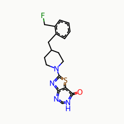 O=c1[nH]cnc2nc(N3CCC(Cc4ccccc4CF)CC3)sc12